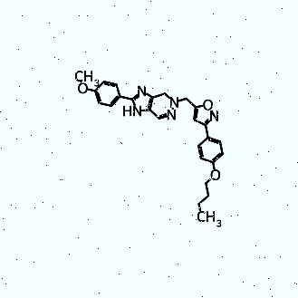 CCCCOc1ccc(-c2cc(CN3Cc4nc(-c5ccc(OC)cc5)[nH]c4C=N3)on2)cc1